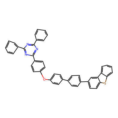 c1ccc(-c2nc(-c3ccccc3)nc(-c3ccc(Oc4ccc(-c5ccc(-c6ccc7sc8ccccc8c7c6)cc5)cc4)cc3)n2)cc1